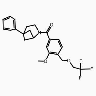 COc1cc(C(=O)N2CCC3(c4ccccc4)CC2C3)ccc1COCC(F)(F)F